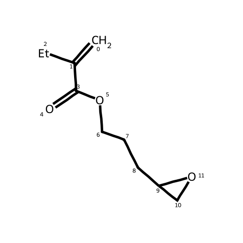 C=C(CC)C(=O)OCCCC1CO1